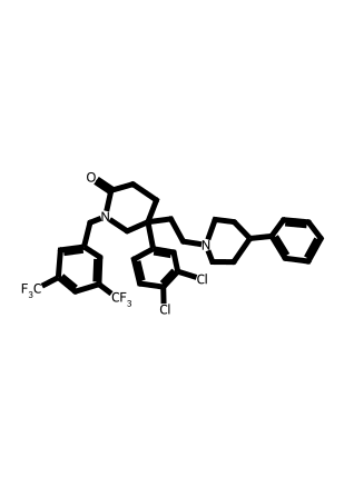 O=C1CCC(CCN2CCC(c3ccccc3)CC2)(c2ccc(Cl)c(Cl)c2)CN1Cc1cc(C(F)(F)F)cc(C(F)(F)F)c1